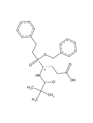 CC(C)(C)[S+]([O-])N[C@@H](CCC(=O)O)P(=O)(CCc1ccccc1)OCc1ccccc1